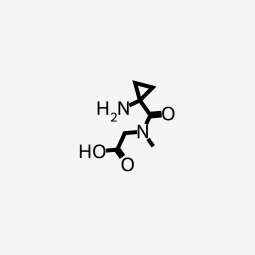 CN(CC(=O)O)C(=O)C1(N)CC1